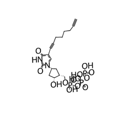 C#CCCCCC#Cc1cn([C@@H]2C[C@H](COP(=O)(O)OP(=O)(O)OP(=O)(O)O)[C@H](O)C2)c(=O)[nH]c1=O